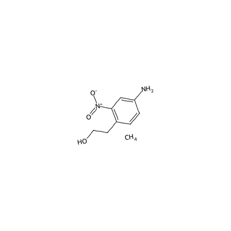 C.Nc1ccc(CCO)c([N+](=O)[O-])c1